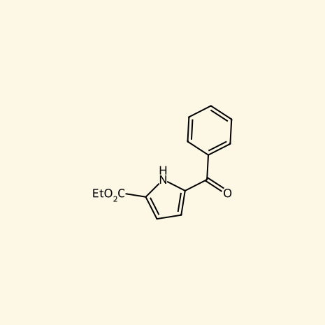 CCOC(=O)c1ccc(C(=O)c2ccccc2)[nH]1